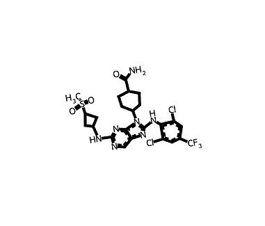 CS(=O)(=O)C1CC(Nc2ncc3nc(Nc4c(Cl)cc(C(F)(F)F)cc4Cl)n(C4CCC(C(N)=O)CC4)c3n2)C1